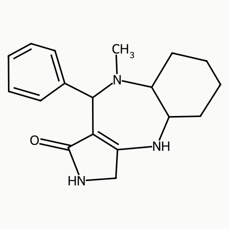 CN1C(c2ccccc2)C2=C(CNC2=O)NC2CCCCC21